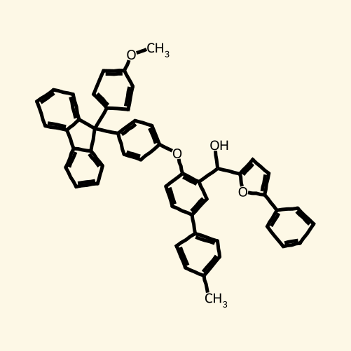 COc1ccc(C2(c3ccc(Oc4ccc(-c5ccc(C)cc5)cc4C(O)c4ccc(-c5ccccc5)o4)cc3)c3ccccc3-c3ccccc32)cc1